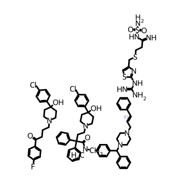 C(=C\c1ccccc1)/CN1CCN(C(c2ccccc2)c2ccccc2)CC1.CN(C)C(=O)C(CCN1CCC(O)(c2ccc(Cl)cc2)CC1)(c1ccccc1)c1ccccc1.N=C(N)Nc1nc(CSCCC(=N)NS(N)(=O)=O)cs1.O=C(CCCN1CCC(O)(c2ccc(Cl)cc2)CC1)c1ccc(F)cc1